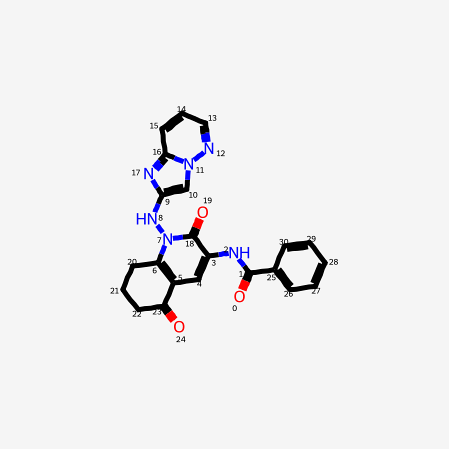 O=C(Nc1cc2c(n(Nc3cn4ncccc4n3)c1=O)CCCC2=O)c1ccccc1